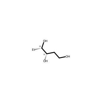 CC[C@H](O)[C@@H](O)CCO